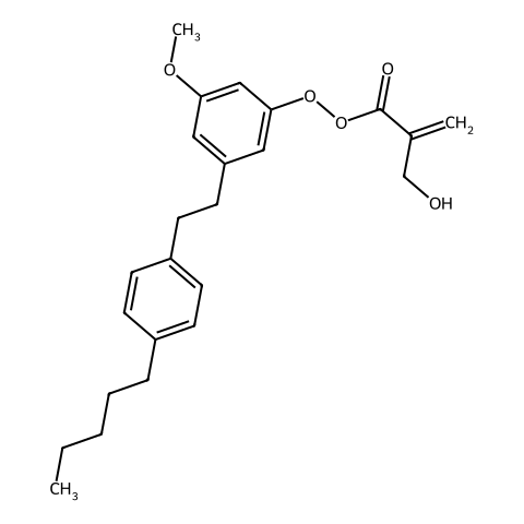 C=C(CO)C(=O)OOc1cc(CCc2ccc(CCCCC)cc2)cc(OC)c1